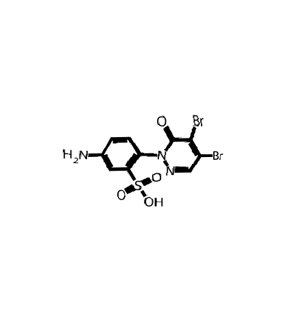 Nc1ccc(-n2ncc(Br)c(Br)c2=O)c(S(=O)(=O)O)c1